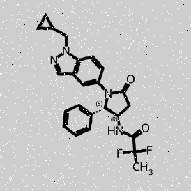 CC(F)(F)C(=O)N[C@@H]1CC(=O)N(c2ccc3c(cnn3CC3CC3)c2)[C@H]1c1ccccc1